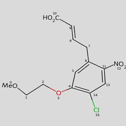 COCCOc1cc(C/C=C/C(=O)O)c([N+](=O)[O-])cc1Cl